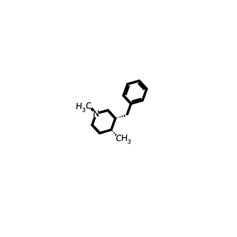 C[C@@H]1CCN(C)C[C@@H]1Cc1ccccc1